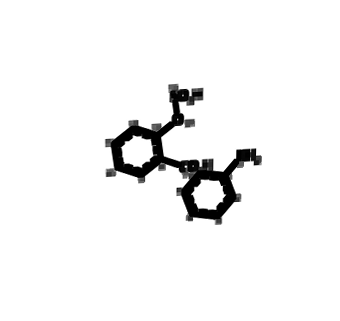 Nc1ccccc1.O=C(O)c1ccccc1OS(=O)(=O)O